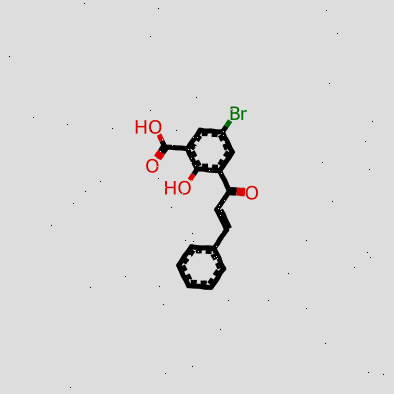 O=C(O)c1cc(Br)cc(C(=O)C=Cc2ccccc2)c1O